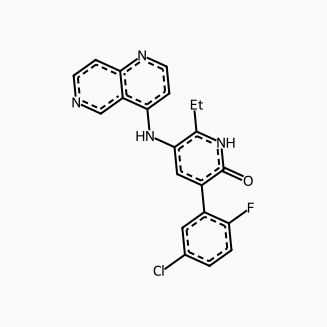 CCc1[nH]c(=O)c(-c2cc(Cl)ccc2F)cc1Nc1ccnc2ccncc12